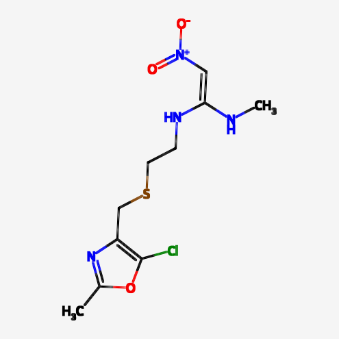 CN/C(=C/[N+](=O)[O-])NCCSCc1nc(C)oc1Cl